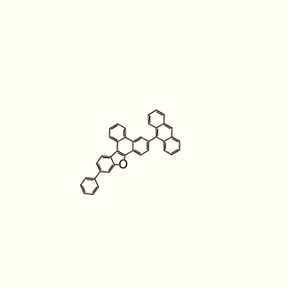 c1ccc(-c2ccc3c(c2)oc2c4ccc(-c5c6ccccc6cc6ccccc56)cc4c4ccccc4c32)cc1